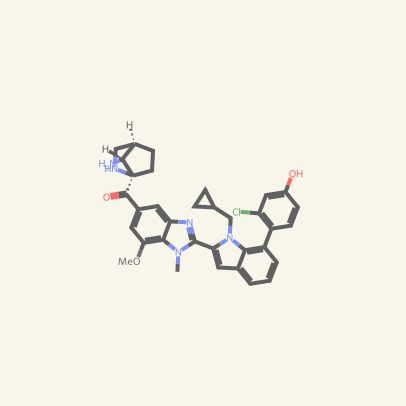 COc1cc(C(=O)[C@]23CC[C@H](CN2)[C@H]3N)cc2nc(-c3cc4cccc(-c5ccc(O)cc5Cl)c4n3CC3CC3)n(C)c12